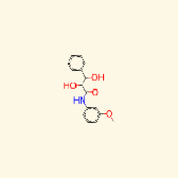 COc1cccc(NC(=O)C(O)C(O)c2ccccc2)c1